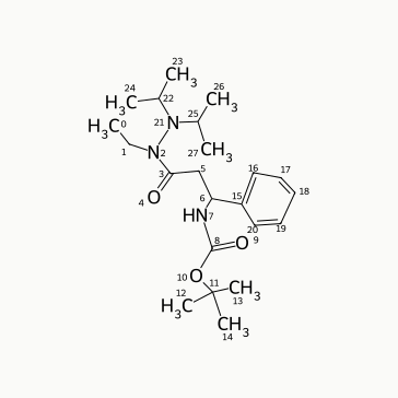 CCN(C(=O)CC(NC(=O)OC(C)(C)C)c1ccccc1)N(C(C)C)C(C)C